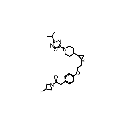 CC(C)c1noc(N2CCC(C3C[C@H]3CCOc3ccc(CC(=O)N4CC(F)C4)cc3)CC2)n1